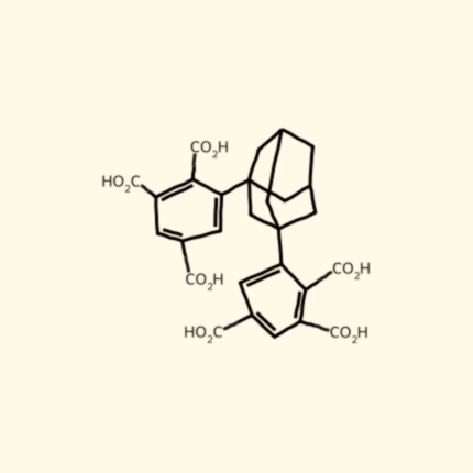 O=C(O)c1cc(C(=O)O)c(C(=O)O)c(C23CC4CC(C2)CC(c2cc(C(=O)O)cc(C(=O)O)c2C(=O)O)(C4)C3)c1